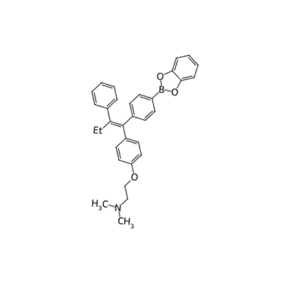 CCC(=C(c1ccc(OCCN(C)C)cc1)c1ccc(B2Oc3ccccc3O2)cc1)c1ccccc1